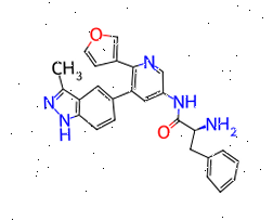 Cc1n[nH]c2ccc(-c3cc(NC(=O)[C@@H](N)Cc4ccccc4)cnc3-c3ccoc3)cc12